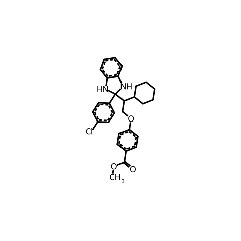 COC(=O)c1ccc(OCC(C2CCCCC2)C2(c3ccc(Cl)cc3)Nc3ccccc3N2)cc1